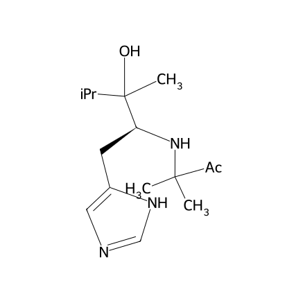 CC(=O)C(C)(C)N[C@@H](Cc1cnc[nH]1)C(C)(O)C(C)C